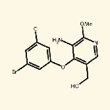 COc1ncc(CO)c(Oc2cc(Cl)cc(Br)c2)c1N